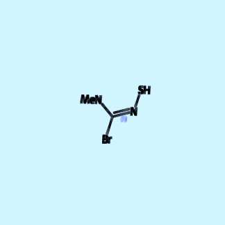 CN/C(Br)=N\S